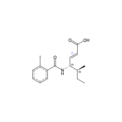 CC[C@H](C)[C@@H](/C=C/C(=O)O)NC(=O)c1ccccc1I